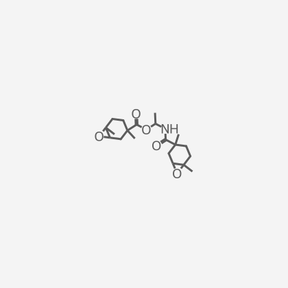 CC(NC(=O)C1(C)CCC2(C)OC2C1)OC(=O)C1(C)CCC2(C)OC2C1